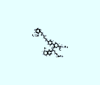 COCCCC(O[C@H]1CN(C(=O)OC(C)(C)C)CC[C@@H]1c1ccc(OCCCOCc2ccccc2OC)cc1)c1ccc2c(c1)NCCC2